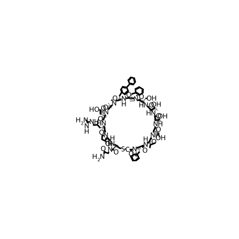 CC(C)[C@@H]1NC(=O)[C@H](Cc2ccccc2)NC(=O)CSC[C@@H](C(=O)NCC(N)=O)NC(=O)[C@@H]2CCCN2C(=O)[C@H](CCCNC(=N)N)NC(=O)[C@H](CC(=O)O)NC(=O)[C@H](C)N(C)C(=O)[C@H](Cc2ccc(-c3ccccc3)cc2)NC(=O)[C@H](Cc2ccccc2)N(C)C(=O)[C@H](CO)NC(=O)[C@H]([C@@H](C)O)NC(=O)[C@H]([C@@H](C)O)NC(=O)[C@H](CO)NC1=O